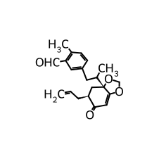 C=CC[C@H]1C[C@]2(C(C)Cc3ccc(C)c(C=O)c3)OCOC2=CC1=O